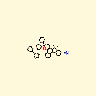 CC1(C)c2cc(C#N)ccc2-c2c1c1c(c3ccccc23)OC(c2ccccc2)(c2ccc(-c3ccccc3-c3ccccc3)cc2)C=C1